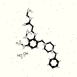 CCOC(=O)CCOc1c(CN2CCN(Cc3ccccc3)CC2)ccc(OC)c1OC.Cl.Cl